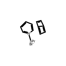 CCC[n+]1ccccc1.[Br-].c1cc2ccc1-2